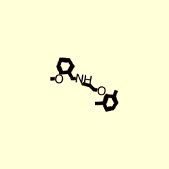 COc1ccccc1CNCCCOc1c(C)cccc1C